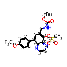 CC(C)(C)OC(=O)NCc1cc(-c2ccc(OC(F)(F)F)cc2)c2nccnc2c1OS(=O)(=O)C(F)(F)F